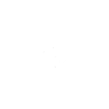 COCCOc1ccc2c(c1)c(=O)oc1cc(C)ccc12